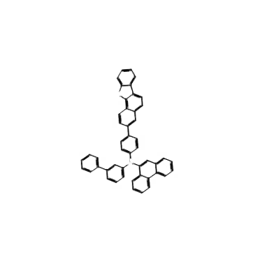 c1ccc(-c2cccc(N(c3ccc(-c4ccc5c(ccc6c7ccccc7sc56)c4)cc3)c3cc4ccccc4c4ccccc34)c2)cc1